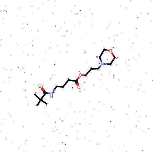 CC(C)(C)C(=O)NCCCC(=O)OCCCN1CCOCC1